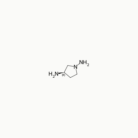 N[C@@H]1CCN(N)C1